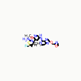 COc1ncc(Nc2nccc3nc(OCc4ncco4)cnc23)cc1[C@@]1(C)N=C(N)S[C@@]2(CF)C[C@H]21